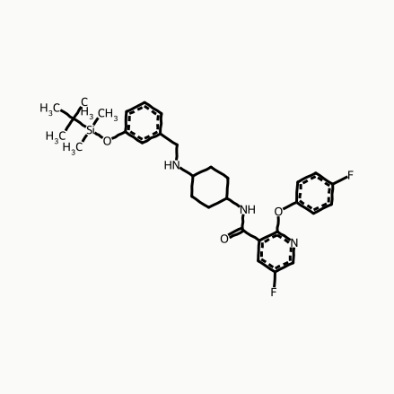 CC(C)(C)[Si](C)(C)Oc1cccc(CNC2CCC(NC(=O)c3cc(F)cnc3Oc3ccc(F)cc3)CC2)c1